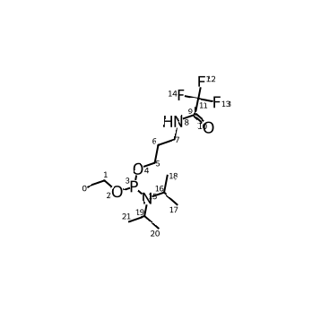 CCOP(OCCCNC(=O)C(F)(F)F)N(C(C)C)C(C)C